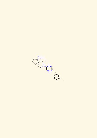 CC(=O)c1cccc(Sc2cnc(N3CCC4(CCC[C@H]4N)CC3)cn2)c1